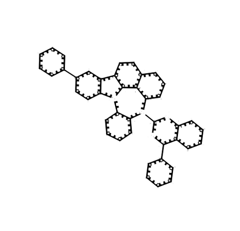 c1ccc(-c2ccc3c(c2)c2ccc4cccc5c4c2n3c2ccccc2n5-c2nc(-c3ccccc3)c3ccccc3n2)cc1